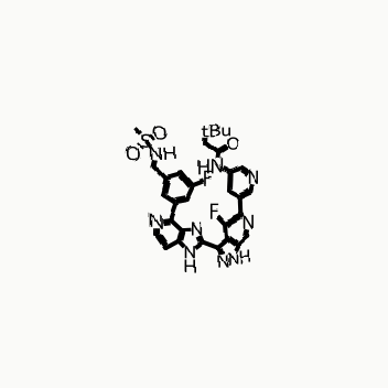 CC(C)(C)CC(=O)Nc1cncc(-c2ncc3[nH]nc(-c4nc5c(-c6cc(F)cc(CNS(C)(=O)=O)c6)nccc5[nH]4)c3c2F)c1